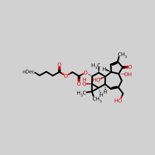 CCCCCCCCCCCCCC(=O)OCC(=O)O[C@@H]1[C@@H](C)[C@@]2(O)[C@@H](C=C(CO)C[C@]3(O)C(=O)C(C)=C[C@@H]23)[C@H]2C(C)(C)[C@]12O